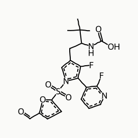 CC(C)(C)C(Cc1cn(S(=O)(=O)c2ccc(C=O)o2)c(-c2cccnc2F)c1F)NC(=O)O